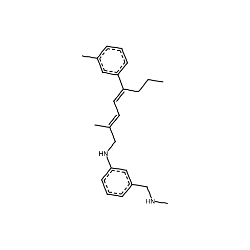 CCC/C(=C\C=C(/C)CNc1cccc(CNC)c1)c1cccc(C)c1